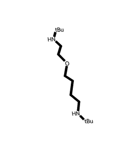 CC(C)(C)NCCCCOCCNC(C)(C)C